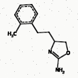 Cc1ccccc1CCC1COC(N)=N1